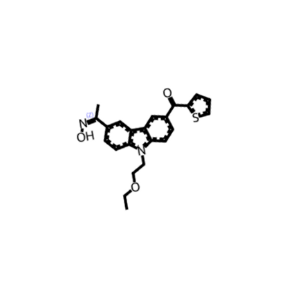 CCOCCn1c2ccc(C(=O)c3cccs3)cc2c2cc(/C(C)=N\O)ccc21